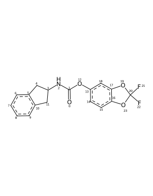 O=C(NC1Cc2ccccc2C1)Oc1ccc2c(c1)OC(F)(F)O2